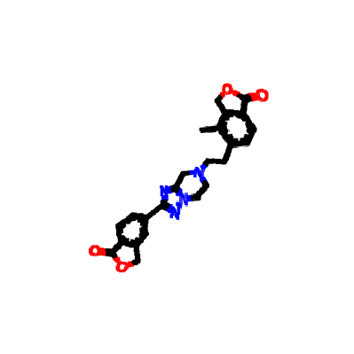 Cc1c(CCN2CCn3nc(-c4ccc5c(c4)COC5=O)nc3C2)ccc2c1COC2=O